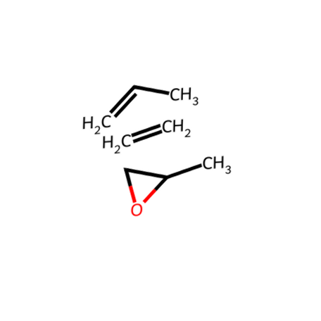 C=C.C=CC.CC1CO1